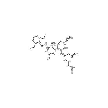 CCc1cccc(CC)c1COC1=CC(Cl)=CN2C(C(=O)N[C@H](CCCN=O)CN=O)=C(CN=[N+]=[N-])NC12